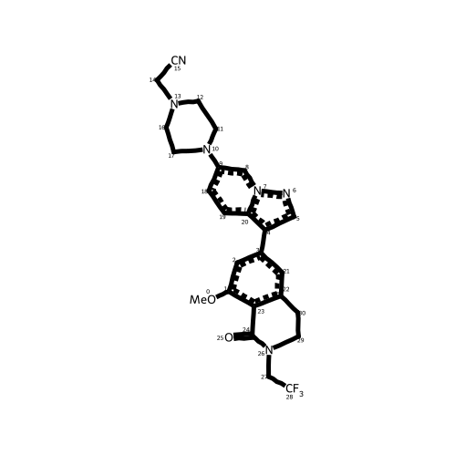 COc1cc(-c2cnn3cc(N4CCN(CC#N)CC4)ccc23)cc2c1C(=O)N(CC(F)(F)F)CC2